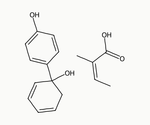 CC=C(C)C(=O)O.Oc1ccc(C2(O)C=CC=CC2)cc1